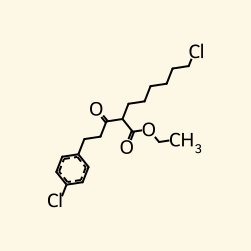 CCOC(=O)C(CCCCCCCl)C(=O)CCc1ccc(Cl)cc1